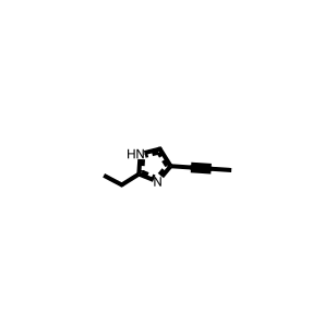 CC#Cc1c[nH]c(CC)n1